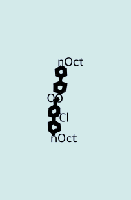 CCCCCCCCc1ccc(-c2ccc(OC(=O)c3ccc(-c4ccc(CCCCCCCC)cc4)c(Cl)c3)cc2)cc1